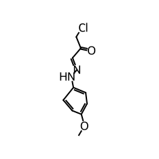 COc1ccc(NN=CC(=O)CCl)cc1